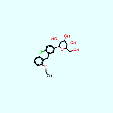 CCOc1ccccc1Cc1cc([C@@H]2O[C@H](CO)[C@@H](O)[C@H](O)[C@H]2O)ccc1Cl